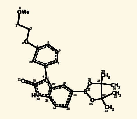 COCCOc1cccc(-n2c(=O)[nH]c3ccc(B4OC(C)(C)C(C)(C)O4)cc32)c1